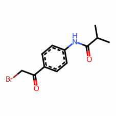 CC(C)C(=O)Nc1ccc(C(=O)CBr)cc1